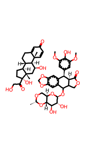 COc1cc([C@@H]2c3cc4c(cc3C(O[C@@H]3O[C@@H]5CO[C@@H](C)O[C@H]5[C@H](O)[C@H]3O)C3COC(=O)[C@@H]32)OCO4)cc(OC)c1O.C[C@]12C=CC(=O)C=C1CC[C@@H]1[C@@H]2[C@@H](O)C[C@@]2(C)[C@H]1CC[C@]2(O)C(=O)CO